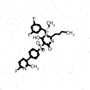 CCCCc1nc(=O)c(S(=O)(=O)c2ccc(-c3ccc(F)nc3C)cc2)c(O)n1[C@@H](CC)c1cc(F)cc(F)c1